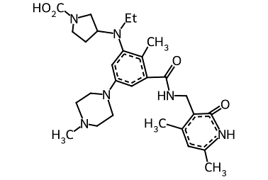 CCN(c1cc(N2CCN(C)CC2)cc(C(=O)NCc2c(C)cc(C)[nH]c2=O)c1C)C1CCN(C(=O)O)C1